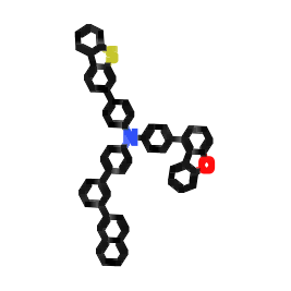 c1cc(-c2ccc(N(c3ccc(-c4ccc5c(c4)sc4ccccc45)cc3)c3ccc(-c4cccc5oc6ccccc6c45)cc3)cc2)cc(-c2ccc3ccccc3c2)c1